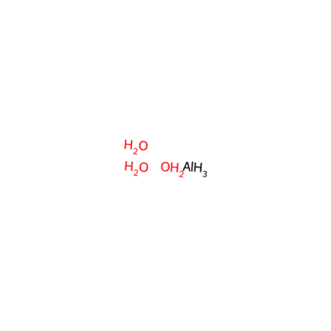 O.O.O.[AlH3]